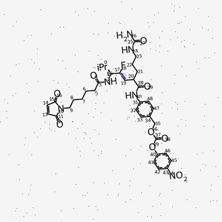 CC(C)[C@H](NC(=O)CCCCCN1C(=O)C=CC1=O)/C(F)=C/C(CCCNC(N)=O)C(=O)Nc1ccc(COC(=O)Oc2ccc([N+](=O)[O-])cc2)cc1